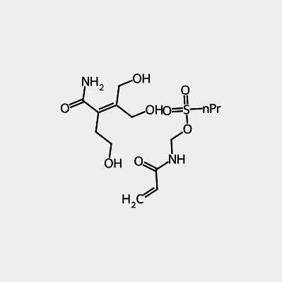 C=CC(=O)NCOS(=O)(=O)CCC.NC(=O)C(CCO)=C(CO)CO